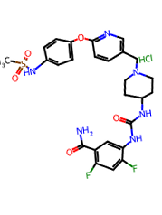 CS(=O)(=O)Nc1ccc(Oc2ccc(CN3CCC(NC(=O)Nc4cc(C(N)=O)c(F)cc4F)CC3)cn2)cc1.Cl